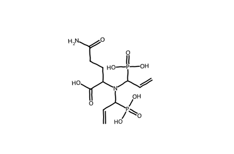 C=CC(N(C(CCC(N)=O)C(=O)O)C(C=C)P(=O)(O)O)P(=O)(O)O